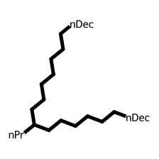 [CH2]CCC(CCCCCCCCCCCCCCCC)CCCCCCCCCCCCCCCCC